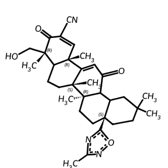 Cc1noc([C@]23CCC(C)(C)CC2C2C(=O)C=C4[C@@]5(C)C=C(C#N)C(=O)[C@@](C)(CO)C5CC[C@@]4(C)[C@]2(C)CC3)n1